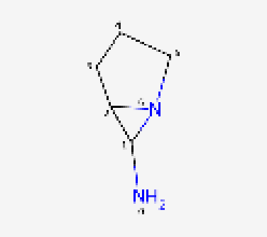 NC1C2CCCN12